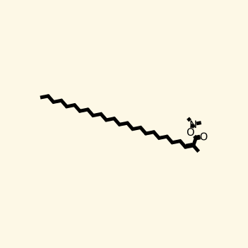 CCCCCCCCCCCCCCCCCCCCCCC=C(C)C(=O)ON(C)C